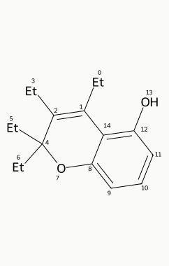 CCC1=C(CC)C(CC)(CC)Oc2cccc(O)c21